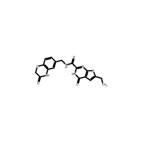 CCc1cc2c(=O)[nH]c(C(=O)NCc3ccc4c(c3)NC(=O)CO4)nc2s1